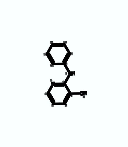 Oc1cccnc1Nc1ccccc1